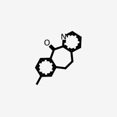 Cc1ccc2c(c1)CCc1cccnc1C2=O